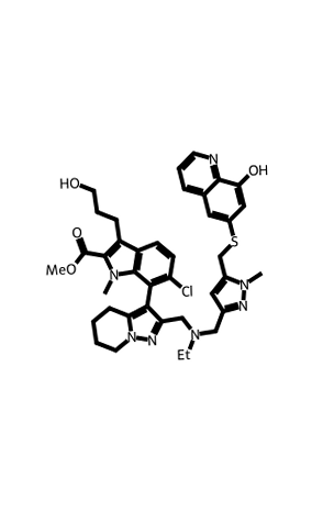 CCN(Cc1cc(CSc2cc(O)c3ncccc3c2)n(C)n1)Cc1nn2c(c1-c1c(Cl)ccc3c(CCCO)c(C(=O)OC)n(C)c13)CCCC2